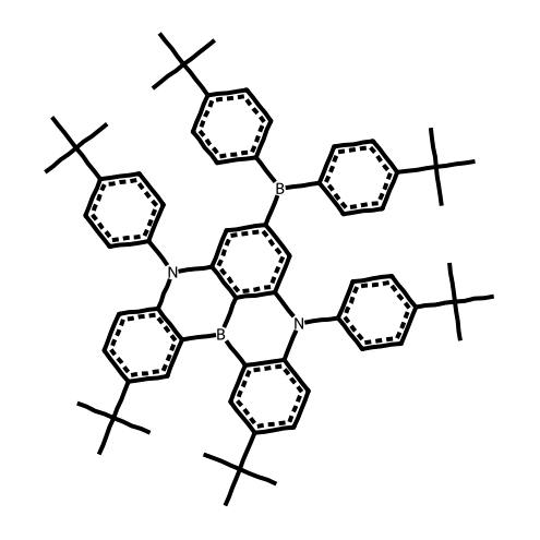 CC(C)(C)c1ccc(B(c2ccc(C(C)(C)C)cc2)c2cc3c4c(c2)N(c2ccc(C(C)(C)C)cc2)c2ccc(C(C)(C)C)cc2B4c2cc(C(C)(C)C)ccc2N3c2ccc(C(C)(C)C)cc2)cc1